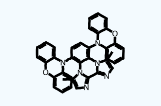 Cc1cnc2c3ncc(C)n3c3c(N4c5ccccc5Oc5ccccc54)ccc(N4c5ccccc5Oc5ccccc54)c3n12